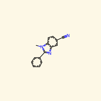 Cn1c(-c2ccccc2)nc2cc(C#N)ccc21